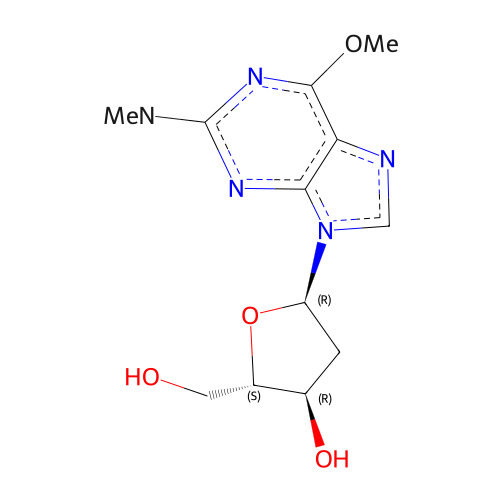 CNc1nc(OC)c2ncn([C@H]3C[C@@H](O)[C@H](CO)O3)c2n1